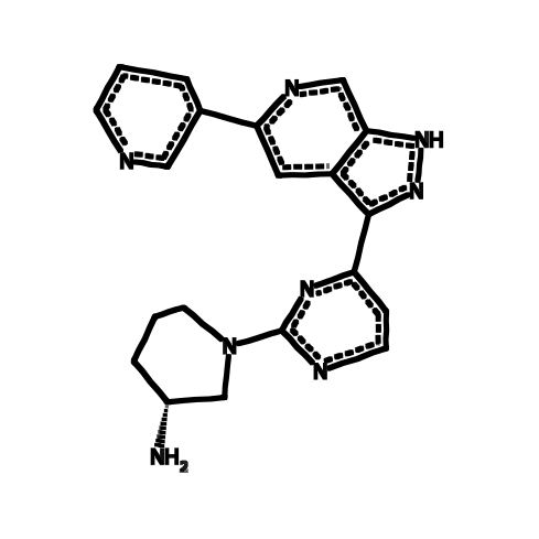 N[C@@H]1CCCN(c2nccc(-c3n[nH]c4cnc(-c5cccnc5)cc34)n2)C1